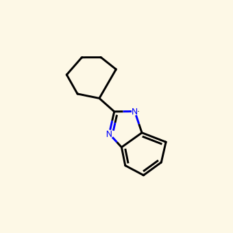 c1ccc2c(c1)[N]C(C1CCCCC1)=N2